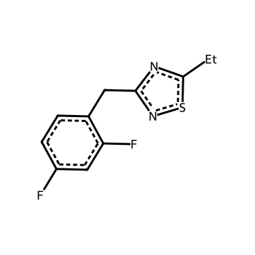 CCc1nc(Cc2ccc(F)cc2F)ns1